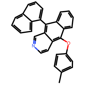 Cc1ccc(Oc2c3ccccc3c(-c3cccc4ccccc34)c3cnccc23)cc1